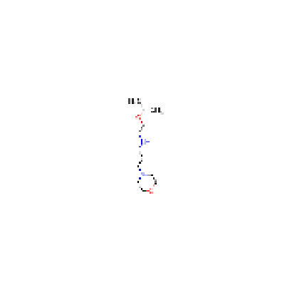 CC(C)OCCNCCCN1CCOCC1